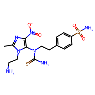 Cc1nc([N+](=O)[O-])c(N(CCc2ccc(S(N)(=O)=O)cc2)C(N)=S)n1CCN